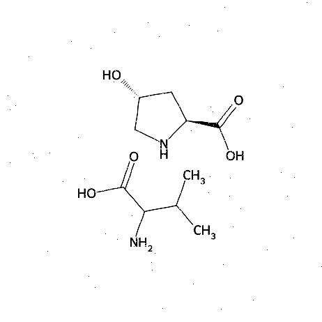 CC(C)C(N)C(=O)O.O=C(O)[C@@H]1C[C@@H](O)CN1